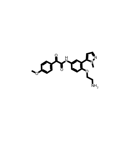 COc1ccc(C(=O)C(=O)Nc2ccc(OCCN)c(-c3ccnn3C)c2)cc1